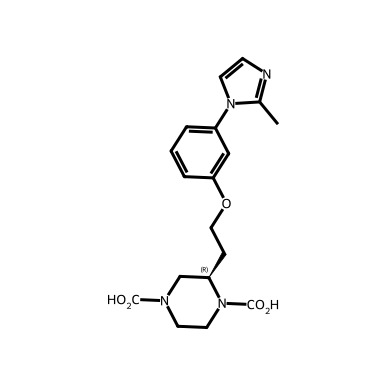 Cc1nccn1-c1cccc(OCC[C@@H]2CN(C(=O)O)CCN2C(=O)O)c1